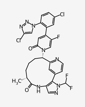 C[C@@H]1CCC[C@H](n2cc(F)c(-c3cc(Cl)ccc3-n3cc(Cl)nn3)cc2=O)c2cc(ccn2)-c2c(cnn2C(F)F)NC1=O